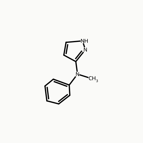 CN(c1ccccc1)c1cc[nH]n1